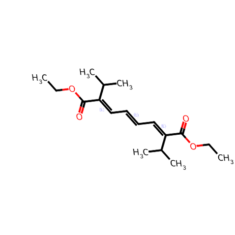 CCOC(=O)/C(=C/C=C/C=C(/C(=O)OCC)C(C)C)C(C)C